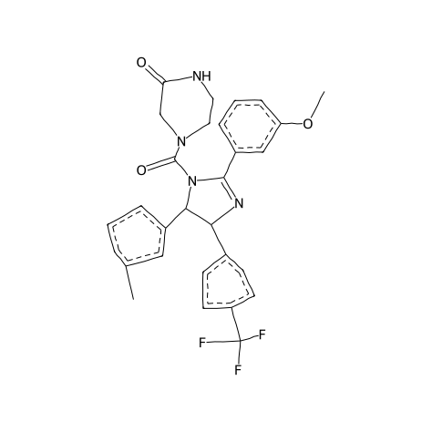 COc1cccc(C2=NC(c3ccc(C(F)(F)F)cc3)C(c3cccc(C)c3)N2C(=O)N2CCNC(=O)C2)c1